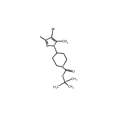 Cc1c(Br)c(I)nn1C1CCN(C(=O)OC(C)(C)C)CC1